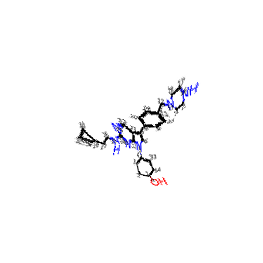 O[C@H]1CC[C@H](n2cc(-c3ccc(CN4CCNCC4)cc3)c3cnc(NCCC4CC4)nc32)CC1